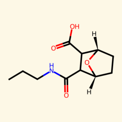 CCCNC(=O)C1C(C(=O)O)[C@@H]2CC[C@H]1O2